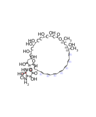 C[C@H]1C[C@H](O)[C@@H](C)/C=C/C=C/C=C/C=C/C=C/C=C/C=C/C(O[C@@H]2OC[C@@H](O)[C@H](N)[C@@H]2O)C[C@@H]2OC(O)(CC(O)CC(O)C(O)CCC(O)CC(O)CC(=O)O1)C[C@H](O)[C@H]2C(=O)NCCCl